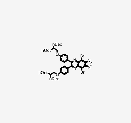 CCCCCCCCCCC(CCCCCCCC)COc1ccc(-c2nc3c(Br)c4nsnc4c(Br)c3nc2-c2ccc(OCC(CCCCCCCC)CCCCCCCCCC)cc2)cc1